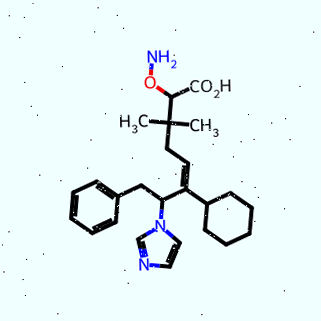 CC(C)(CC=C(C1CCCCC1)C(Cc1ccccc1)n1ccnc1)C(ON)C(=O)O